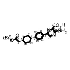 CC(C)(C)OC(=O)C[C@H]1CC[C@H](c2ccc(-c3cnc(N)c(C(=O)O)n3)cc2)CC1